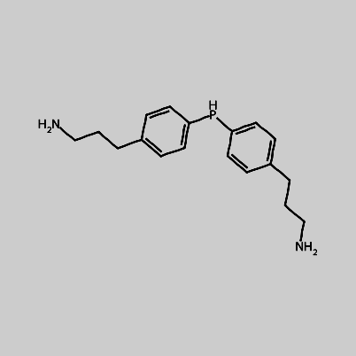 NCCCc1ccc(Pc2ccc(CCCN)cc2)cc1